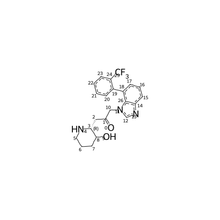 O=C(C[C@H]1NCCCC1O)Cn1cnc2cccc(-c3ccccc3C(F)(F)F)c21